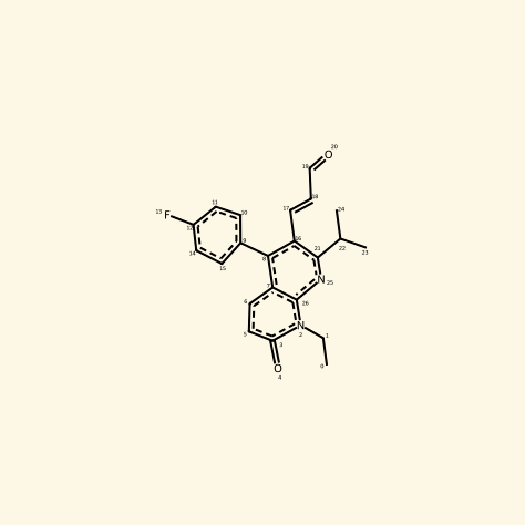 CCn1c(=O)ccc2c(-c3ccc(F)cc3)c(C=CC=O)c(C(C)C)nc21